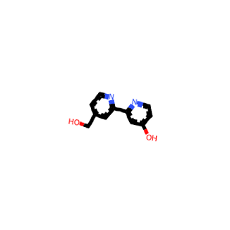 OCc1ccnc(-c2cc(O)ccn2)c1